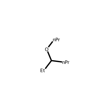 [CH2]CC(CCC)OCCC